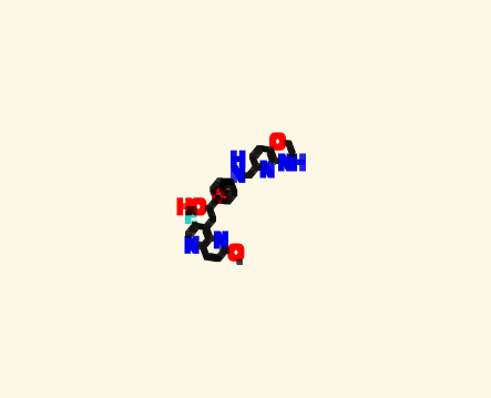 COc1ccc2ncc(F)c(CC(O)C34CCC(NCc5ccc6c(n5)NCCO6)(CC3)CO4)c2n1